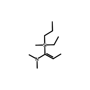 CC=C(N(C)C)[Si](C)(CC)CCC